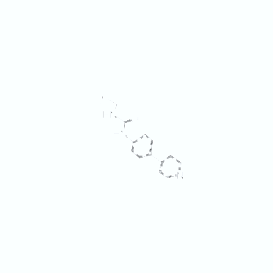 CCNC(=O)Nc1ccc(-c2ccncc2)cc1